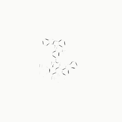 Bc1c(B)c(B)c2c(-c3cccc4c3oc3ccccc34)nc(-c3ccc4c(c3)C(C)(C)c3cccc5c6sc7ccccc7c6n-4c35)nc2c1B